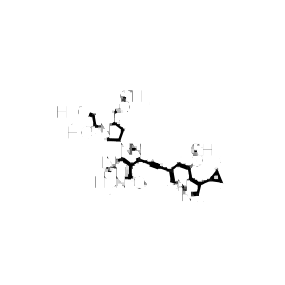 C=CC(O)N1C[C@@H](n2nc(C#Cc3cc(OC)c4c(C5CC5)cnn4c3)c(C(N)=O)c2NC)C[C@@H]1COC